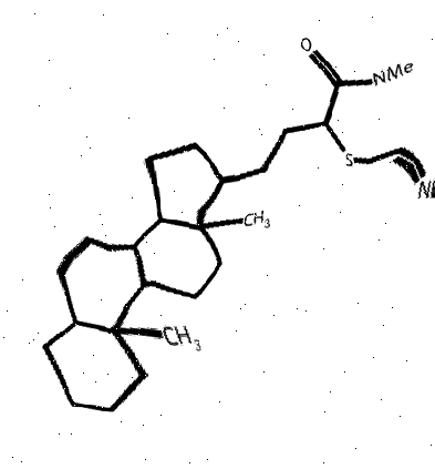 CNC(=O)C(CCC1CCC2C3CCC4CCCCC4(C)C3CCC12C)SC=N